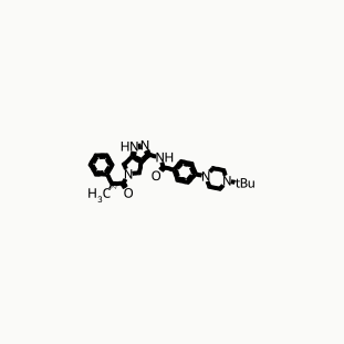 C[C@@H](C(=O)N1Cc2[nH]nc(NC(=O)c3ccc(N4CCN(C(C)(C)C)CC4)cc3)c2C1)c1ccccc1